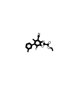 CCOC(=O)c1nc2c(C#N)c(C)c(-c3cccc(C)c3)c(F)c2o1